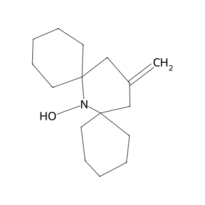 C=C1CC2(CCCCC2)N(O)C2(CCCCC2)C1